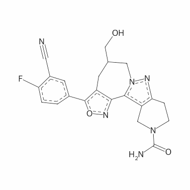 N#Cc1cc(-c2onc3c2CC(CO)Cn2nc4c(c2-3)CN(C(N)=O)CC4)ccc1F